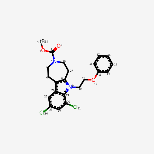 CC(C)(C)OC(=O)N1CCc2c(n(CCOc3ccccc3)c3c(Cl)cc(Cl)cc23)CC1